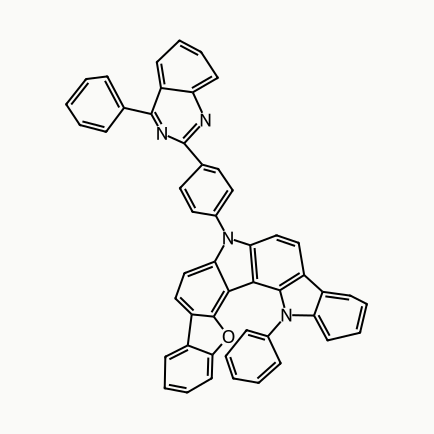 c1ccc(-c2nc(-c3ccc(-n4c5ccc6c7ccccc7oc6c5c5c4ccc4c6ccccc6n(-c6ccccc6)c45)cc3)nc3ccccc23)cc1